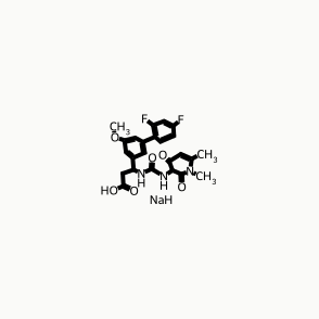 COc1cc(-c2ccc(F)cc2F)cc(C(CC(=O)O)NC(=O)NC2C(=O)C=C(C)N(C)C2=O)c1.[NaH]